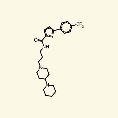 O=C(NCCCN1CCC(N2CCCCC2)CC1)c1ccc(-c2ccc(C(F)(F)F)cc2)s1